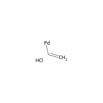 C=[CH][Pd].Cl